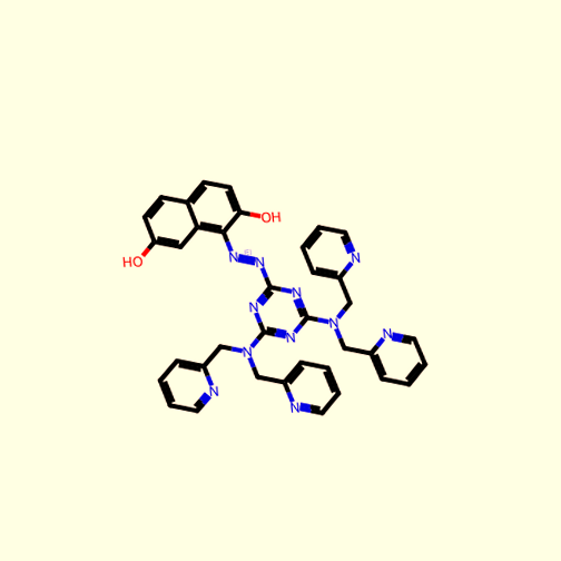 Oc1ccc2ccc(O)c(/N=N/c3nc(N(Cc4ccccn4)Cc4ccccn4)nc(N(Cc4ccccn4)Cc4ccccn4)n3)c2c1